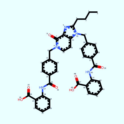 CCCCc1nc2c(=O)n(Cc3ccc(C(=O)Nc4ccccc4C(=O)O)cc3)ccc2n1Cc1ccc(C(=O)Nc2ccccc2C(=O)O)cc1